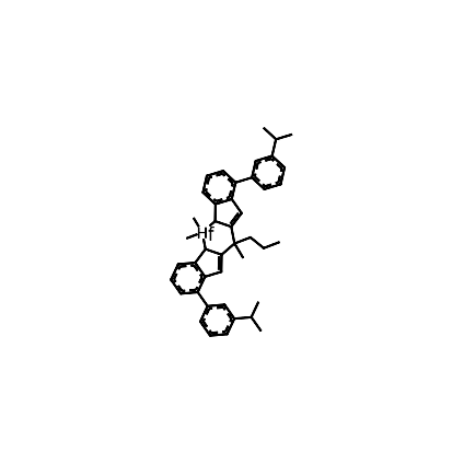 CCCC1(C)C2=Cc3c(-c4cccc(C(C)C)c4)cccc3[CH]2[Hf]([CH3])([CH3])[CH]2C1=Cc1c(-c3cccc(C(C)C)c3)cccc12